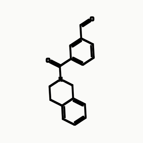 O=Cc1cccc(C(=O)N2CCc3ccccc3C2)c1